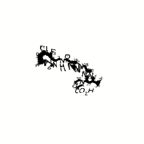 O=C(NCc1ncn2ccc(Cl)c(F)c12)c1cn(Cc2cn3cc(C4CC4)cc(N4CCO[C@H](C(=O)O)C4)c3n2)nn1